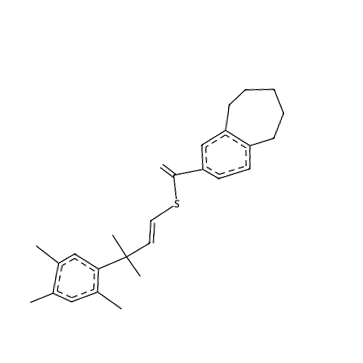 C=C(S/C=C/C(C)(C)c1cc(C)c(C)cc1C)c1ccc2c(c1)CCCCC2